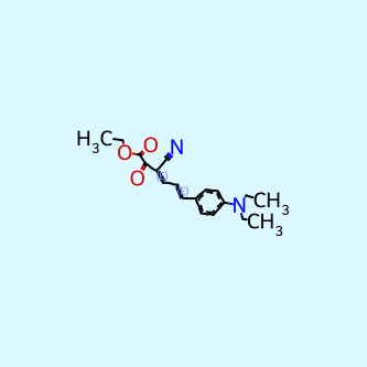 CCOC(=O)C(=O)/C(C#N)=C/C=C/c1ccc(N(CC)CC)cc1